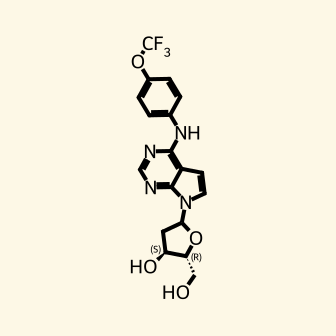 OC[C@H]1OC(n2ccc3c(Nc4ccc(OC(F)(F)F)cc4)ncnc32)C[C@@H]1O